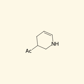 CC(=O)C1CC=CNC1